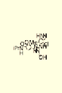 COC1CC(c2nc(Nc3ccc4[nH]ncc4c3Cl)n(CCO)n2)=CC=C1C(=O)NC(C)C